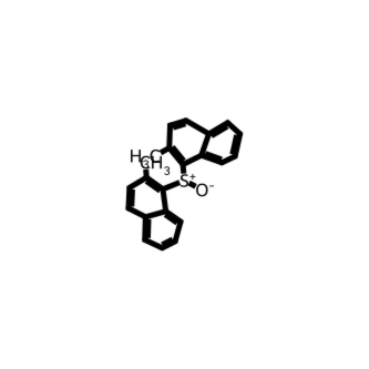 Cc1ccc2ccccc2c1[S+]([O-])c1c(C)ccc2ccccc12